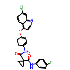 O=C(NC1=CC=C(Oc2ccnc3cc(Cl)ccc23)CC1)C1(C(=O)Nc2ccc(F)cc2)CC1